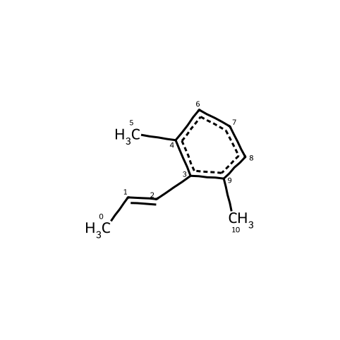 C/C=C/c1c(C)cccc1C